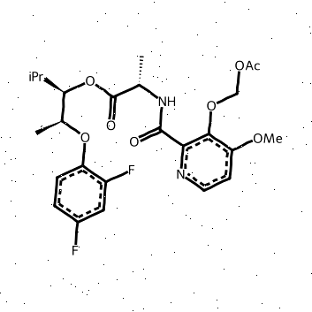 COc1ccnc(C(=O)N[C@@H](C)C(=O)O[C@H](C(C)C)[C@H](C)Oc2ccc(F)cc2F)c1OCOC(C)=O